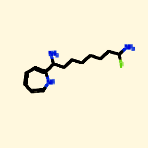 NC(F)CCCCCCC(N)C1=CC=CC=CN1